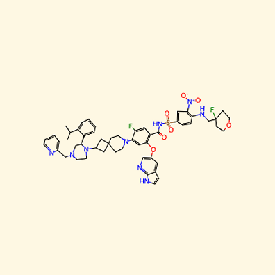 CC(C)c1ccccc1[C@@H]1CN(Cc2ccccn2)CCN1C1CC2(CCN(c3cc(Oc4cnc5[nH]ccc5c4)c(C(=O)NS(=O)(=O)c4ccc(NCC5(F)CCOCC5)c([N+](=O)[O-])c4)cc3F)CC2)C1